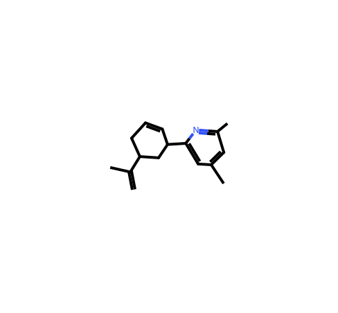 C=C(C)C1CC=CC(c2cc(C)cc(C)n2)C1